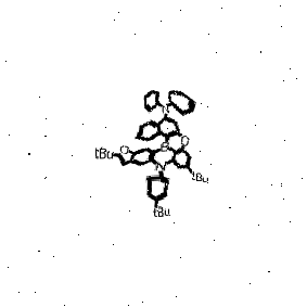 CC(C)(C)c1ccc(N2c3cc4cc(C(C)(C)C)oc4cc3B3c4c(cc(C(C)(C)C)cc42)Oc2cc(N(c4ccccc4)c4ccccc4)c4ccccc4c23)cc1